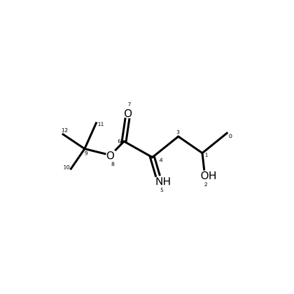 CC(O)CC(=N)C(=O)OC(C)(C)C